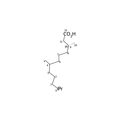 CC(C)CCCC(C)CCC[C@@H](C)CC(=O)O